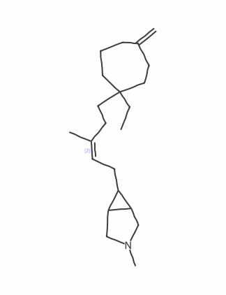 C=C1CCCC(CC)(CC/C(C)=C\CC2C3CN(C)CC23)CC1